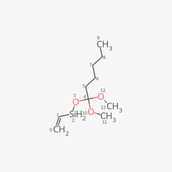 C=C[SiH2]OC(CCCCC)(OC)OC